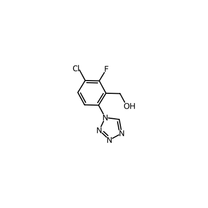 OCc1c(-n2cnnn2)ccc(Cl)c1F